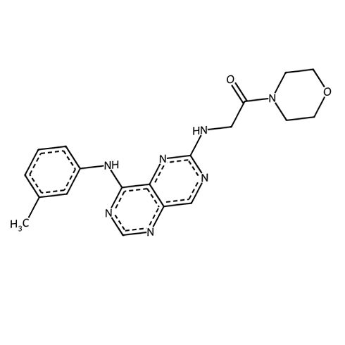 Cc1cccc(Nc2ncnc3cnc(NCC(=O)N4CCOCC4)nc23)c1